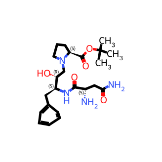 CC(C)(C)OC(=O)[C@@H]1CCCN1C[C@@H](O)[C@H](Cc1ccccc1)NC(=O)[C@@H](N)CC(N)=O